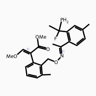 CO/C=C(/C(=O)OC)c1cccc(C)c1CO/N=C(\C)c1ccc(C)cc1C(C)(F)P